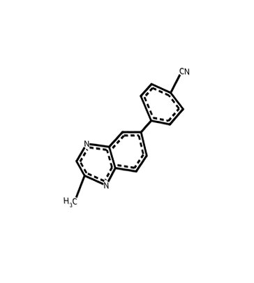 Cc1cnc2cc(-c3ccc(C#N)cc3)ccc2n1